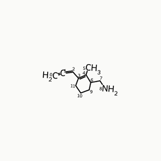 C=C=CC1=C(C)C(CN)CCC1